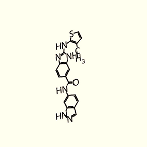 Cc1ccsc1Nc1nc2ccc(C(=O)Nc3ccc4cn[nH]c4c3)cc2[nH]1